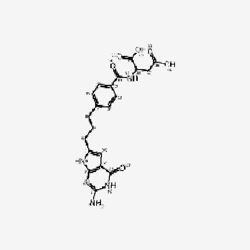 Nc1nc2[nH]c(CCCc3ccc(C(=O)NC(CC(=O)O)C(=O)O)cc3)cc2c(=O)[nH]1